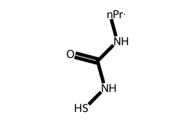 CC[CH]NC(=O)NS